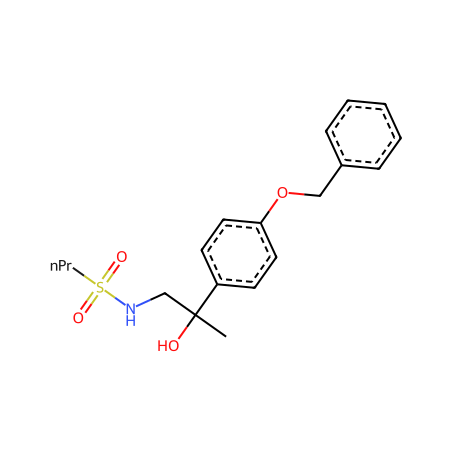 CCCS(=O)(=O)NCC(C)(O)c1ccc(OCc2ccccc2)cc1